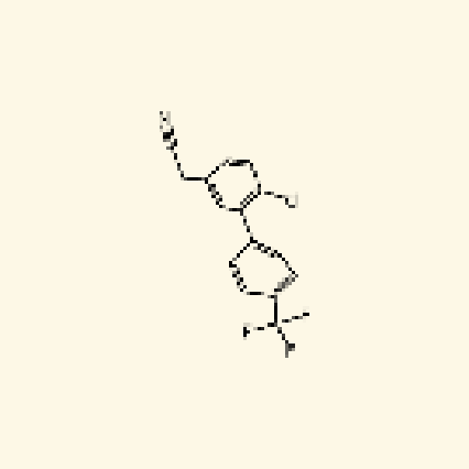 N#CCc1ccc(Cl)c(-c2ccc(C(F)(F)F)cc2)c1